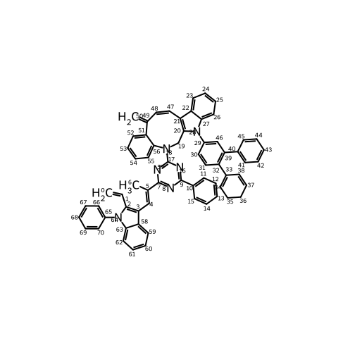 C=Cc1c(/C=C(\C)c2nc(-c3ccccc3)nc(N3Cc4c(c5ccccc5n4-c4ccc(C5=CCCC=C5)c(-c5ccccc5)c4)/C=C\C(=C)c4ccccc43)n2)c2ccccc2n1-c1ccccc1